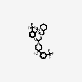 O=C(COCC1CCCCN1S(=O)(=O)c1ccccc1C(F)(F)F)N1CCC(O)(c2cccc(C(F)(F)F)c2)CC1